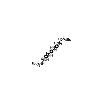 CC(C)(C)OC(=O)NCCC(=O)Nc1ccc2nc(-c3ccc(-c4nc5ccc(NC(=O)CCNC(=O)OC(C)(C)C)cc5[nH]4)cc3)[nH]c2c1